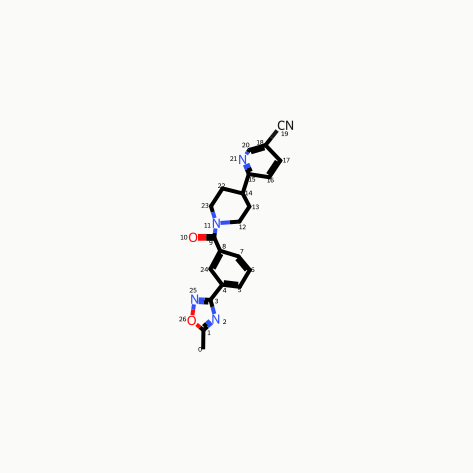 Cc1nc(-c2cccc(C(=O)N3CCC(c4ccc(C#N)cn4)CC3)c2)no1